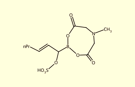 CCCC=CC(OS(=O)(=O)O)B1OC(=O)CN(C)CC(=O)O1